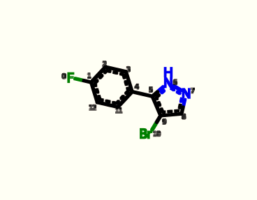 Fc1ccc(-c2[nH]ncc2Br)cc1